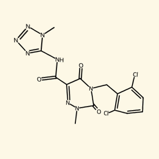 Cn1nnnc1NC(=O)c1nn(C)c(=O)n(Cc2c(Cl)cccc2Cl)c1=O